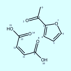 CC(=O)c1ccco1.O=C(O)/C=C\C(=O)O